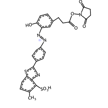 Cc1ccc2sc(-c3ccc(/N=N/c4cc(CCC(=O)ON5C(=O)CCC5=O)ccc4O)cc3)nc2c1S(=O)(=O)O